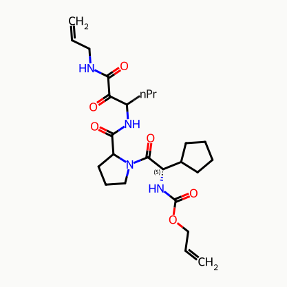 C=CCNC(=O)C(=O)C(CCC)NC(=O)C1CCCN1C(=O)[C@@H](NC(=O)OCC=C)C1CCCC1